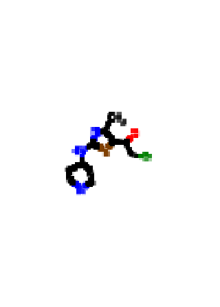 Cc1nc(Nc2ccncc2)sc1C(=O)CBr